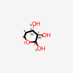 OC1OCC[C@H](O)[C@H]1O